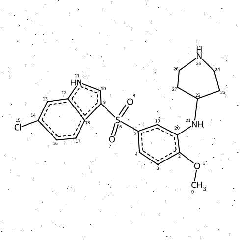 COc1ccc(S(=O)(=O)c2c[nH]c3cc(Cl)ccc23)cc1NC1CCNCC1